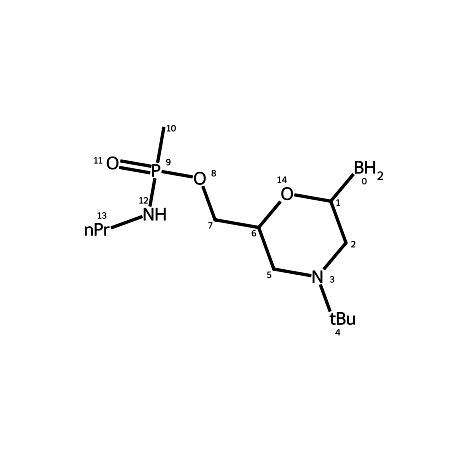 BC1CN(C(C)(C)C)CC(COP(C)(=O)NCCC)O1